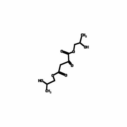 CC(O)COC(=O)CC(=O)C(=O)OCC(C)O